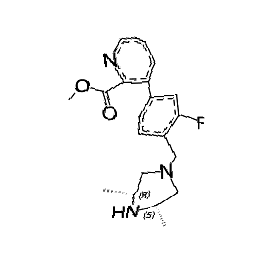 COC(=O)c1ncccc1-c1ccc(CN2C[C@@H](C)N[C@@H](C)C2)c(F)c1